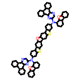 c1ccc2c(c1)oc1c(N(c3ccc4c(c3)sc3cc5c(cc34)oc3cc4c(cc35)sc3cc(N(c5cnc6c7ccccc7c7ccccc7c6n5)c5cccc6c5oc5ccccc56)ccc34)c3cnc4c5ccccc5c5ccccc5c4n3)cccc12